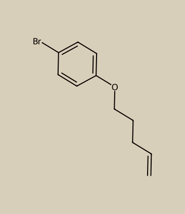 C=CCCCOc1ccc(Br)cc1